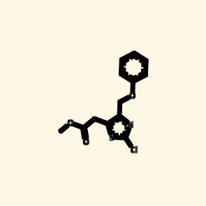 COC(=O)Cc1sc(Cl)nc1COc1ccccc1